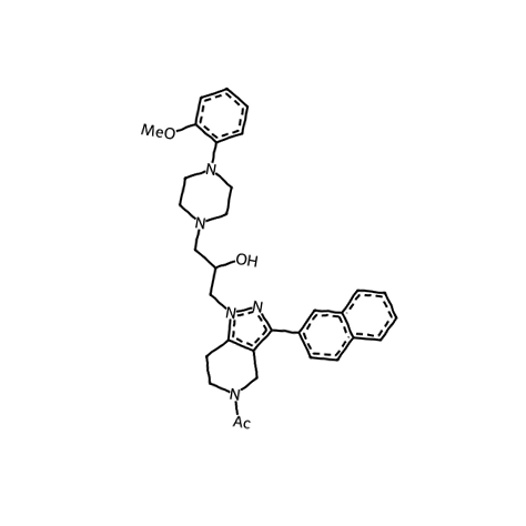 COc1ccccc1N1CCN(CC(O)Cn2nc(-c3ccc4ccccc4c3)c3c2CCN(C(C)=O)C3)CC1